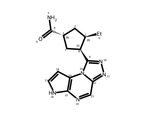 CC[C@@H]1C[C@@H](C(N)=O)C[C@@H]1c1nnc2cnc3[nH]ccc3n12